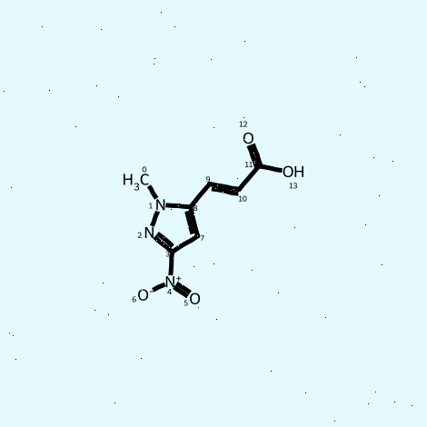 Cn1nc([N+](=O)[O-])cc1C=CC(=O)O